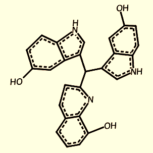 Oc1ccc2[nH]cc(C(c3ccc4cccc(O)c4n3)c3c[nH]c4ccc(O)cc34)c2c1